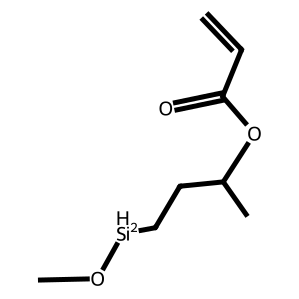 C=CC(=O)OC(C)CC[SiH2]OC